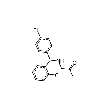 CC(=O)CNC(c1ccc(Cl)cc1)c1ccccc1Cl